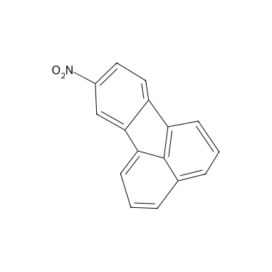 O=[N+]([O-])c1ccc2c(c1)-c1cccc3cccc-2c13